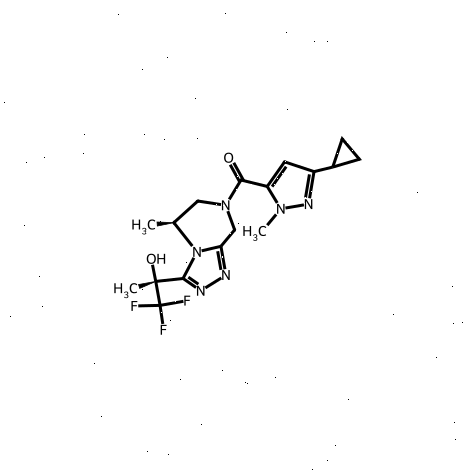 C[C@H]1CN(C(=O)c2cc(C3CC3)nn2C)Cc2nnc([C@@](C)(O)C(F)(F)F)n21